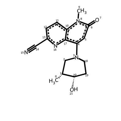 C[C@@H]1CN(c2cc(=O)n(C)c3ccc(C#N)nc23)CC[C@@H]1O